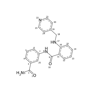 NC(=O)c1cccc(NC(=O)c2ccccc2NCc2ccncc2)c1